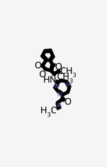 C/C=C/C(=O)/C1=C/C=C(/NC2C3=C(OC2(C)C)c2ccccc2C(=O)C3=O)C/C=C\C1